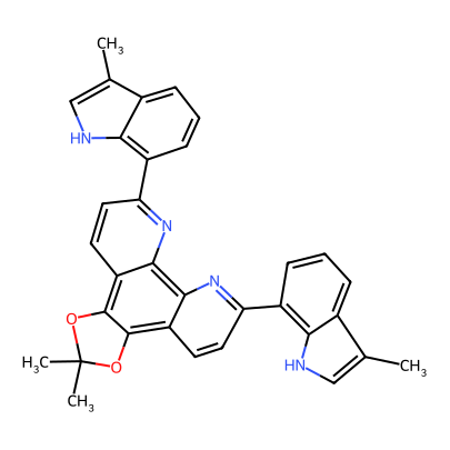 Cc1c[nH]c2c(-c3ccc4c5c(c6ccc(-c7cccc8c(C)c[nH]c78)nc6c4n3)OC(C)(C)O5)cccc12